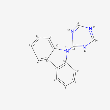 [c]1cccc2c3ccccc3n(-c3ncncn3)c12